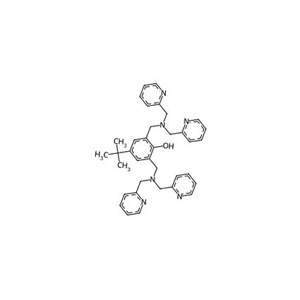 CC(C)(C)c1cc(CN(Cc2ccccn2)Cc2ccccn2)c(O)c(CN(Cc2ccccn2)Cc2ccccn2)c1